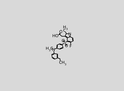 CCc1cccc(N(C)c2ccc(S(=O)(=O)c3c(F)ccc4c3=C(CC(=O)O)C(C)N=4)cc2)c1